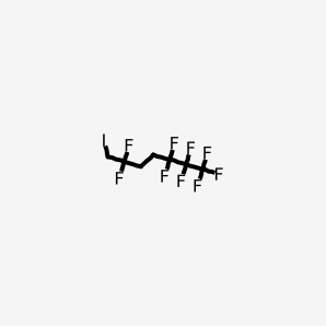 FC(F)(CI)CCC(F)(F)C(F)(F)C(F)(F)F